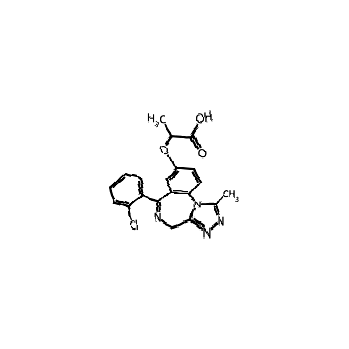 Cc1nnc2n1-c1ccc(OC(C)C(=O)O)cc1C(c1ccccc1Cl)=NC2